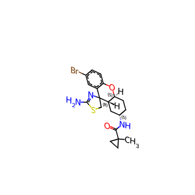 CC1(C(=O)N[C@H]2CC[C@@H]3Oc4ccc(Br)cc4C4(CSC(N)=N4)[C@H]3C2)CC1